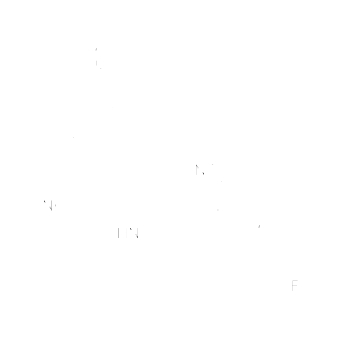 N#Cc1cc(C(F)(F)F)ccc1Nc1ccc(F)cc1[N+](=O)[O-]